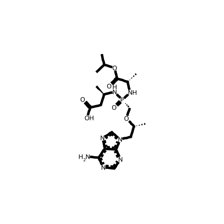 CC(C)OC(=O)[C@H](C)N[P@](=O)(CO[C@H](C)Cn1cnc2c(N)ncnc21)N[C@H](C)CC(=O)O